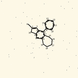 CC1=Cc2c(cc3c(c2-c2ccccc2)CCCCC3)C1